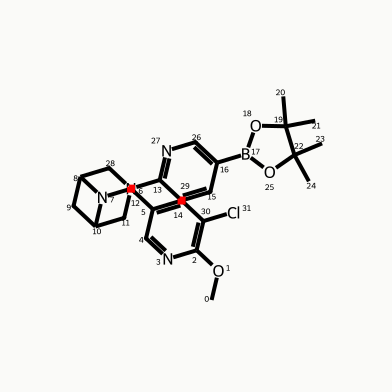 COc1ncc(CN2C3CC2CN(c2ccc(B4OC(C)(C)C(C)(C)O4)cn2)C3)cc1Cl